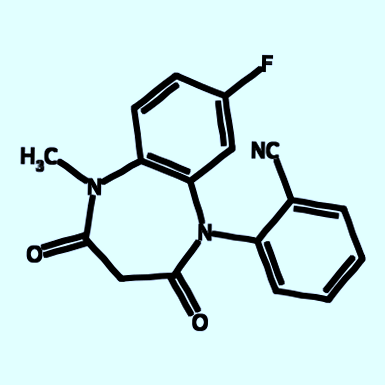 CN1C(=O)CC(=O)N(c2ccccc2C#N)c2cc(F)ccc21